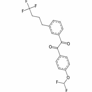 O=C(C(=O)c1cccc(CCCC(F)(F)F)c1)c1ccc(OC(F)F)cc1